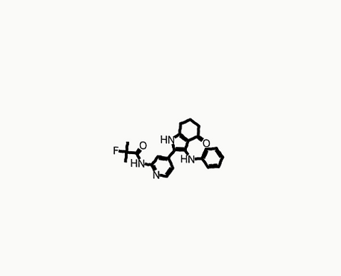 CC(C)(F)C(=O)Nc1cc(-c2[nH]c3c(c2Nc2ccccc2)C(=O)CCC3)ccn1